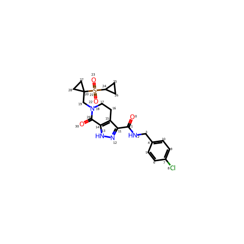 O=C(NCc1ccc(Cl)cc1)c1n[nH]c2c1CCN(CC1(S(=O)(=O)C3CC3)CC1)C2=O